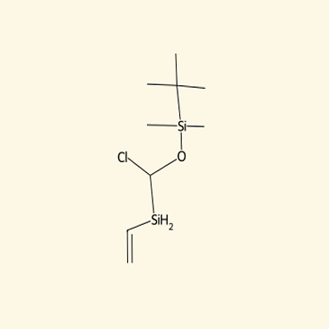 C=C[SiH2]C(Cl)O[Si](C)(C)C(C)(C)C